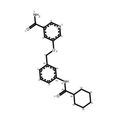 NC(=O)c1cncc(OCc2cccc(NC(=O)C3CCCCC3)c2)c1